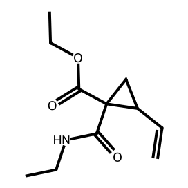 C=CC1CC1(C(=O)NCC)C(=O)OCC